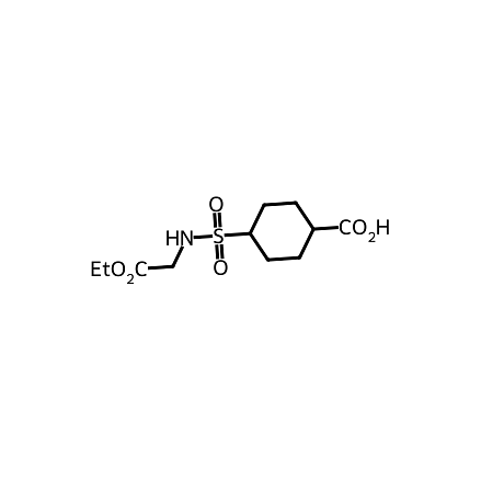 CCOC(=O)CNS(=O)(=O)C1CCC(C(=O)O)CC1